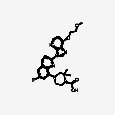 COCCOc1ccnc2c1ncn2-c1ccc2cc(F)cc(N3CCN(C(=O)O)C(C)(C)C3)c2n1